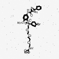 COc1ccc(NC(=O)c2cnc(-c3ccccc3)[nH]2)cc1S(=O)(=O)N(CCOCCOCCOCCNC(=O)OC(C)(C)C)c1ccc(Br)cc1